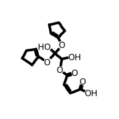 O=C(O)/C=C\C(=O)OC(O)C(O)(OC1=CCCC1)OC1=CCCC1